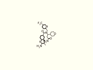 Cc1cc2cc(C(=O)N(Cc3ccc(C(F)(F)F)cn3)C(CC(N)=O)C3CCOCC3)ccc2nc1N